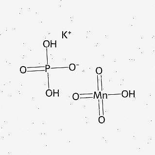 O=P([O-])(O)O.[K+].[O]=[Mn](=[O])(=[O])[OH]